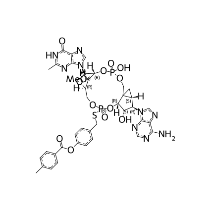 CO[C@H]1[C@H]2OP(=O)(O)OCC34C[C@@H]3[C@@H](n3cnc5c(N)ncnc53)[C@H](O)[C@@H]4O[P@](=O)(SCc3ccc(OC(=O)c4ccc(C)cc4)cc3)OC[C@H]1O[C@H]2n1cnc2c(=O)[nH]c(C)nc21